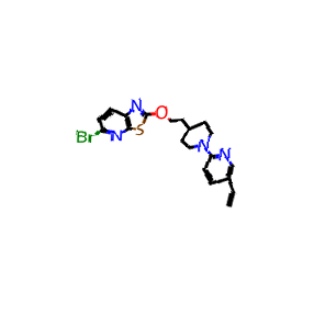 C=Cc1ccc(N2CCC(CCOc3nc4ccc(Br)nc4s3)CC2)nc1